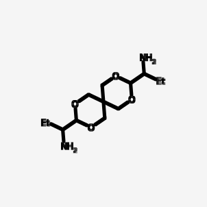 CCC(N)C1OCC2(CO1)COC(C(N)CC)OC2